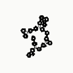 CC1(C)c2ccccc2-c2ccc(N(c3ccc(-c4ccccc4)cc3)c3cccc(-c4ccc(-n5c6ccccc6c6cc(-c7cccc(-c8ccc(N(c9ccc(-c%10ccc(-n%11c%12ccccc%12c%12ccccc%12%11)cc%10)cc9)c9ccc%10c(c9)C9(c%11ccccc%11-c%11ccccc%119)c9ccccc9-%10)cc8)c7)ccc65)cc4)c3)cc21